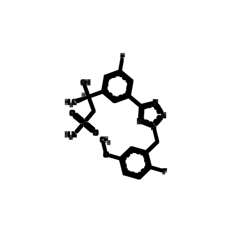 C[C@](O)(CS(N)(=O)=O)c1cc(F)cc(-c2nnn(Cc3cc(OC(F)(F)F)ccc3F)n2)c1